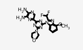 COc1cccc2c1nc(C(F)F)n2-c1nc(-c2cnc(N)c(N)n2)nc(N2CCOCC2)n1